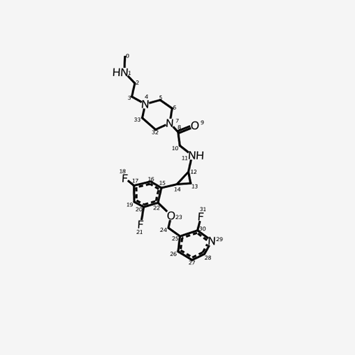 CNCCN1CCN(C(=O)CNC2CC2c2cc(F)cc(F)c2OCc2cccnc2F)CC1